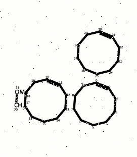 C1=CCCCCCCCC1.C1=CCCCCCCCC1.C1=CCCCCCCCC1.COC